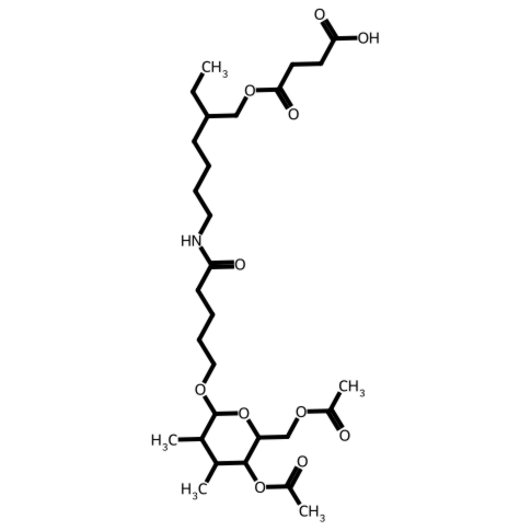 CCC(CCCCNC(=O)CCCCOC1OC(COC(C)=O)C(OC(C)=O)C(C)C1C)COC(=O)CCC(=O)O